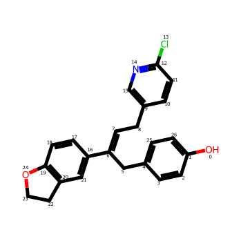 Oc1ccc(CC(=CCc2ccc(Cl)nc2)c2ccc3c(c2)CCO3)cc1